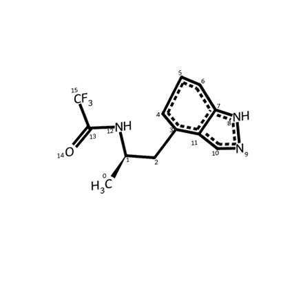 C[C@H](Cc1cccc2[nH]ncc12)NC(=O)C(F)(F)F